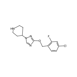 Fc1cc(Cl)ccc1COc1ncn(C2CCNCC2)n1